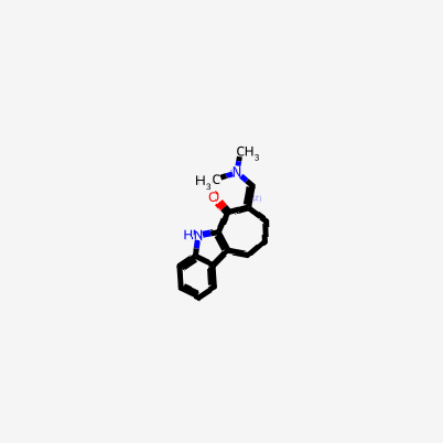 CN(C)/C=C1/CCCc2c([nH]c3ccccc23)C1=O